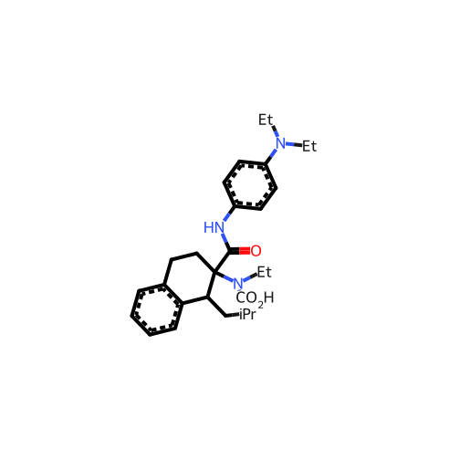 CCN(CC)c1ccc(NC(=O)C2(N(CC)C(=O)O)CCc3ccccc3C2CC(C)C)cc1